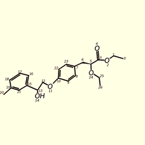 CCOC(=O)[C@H](Cc1ccc(OC[C@@H](O)c2cccc(C)c2)cc1)OCC